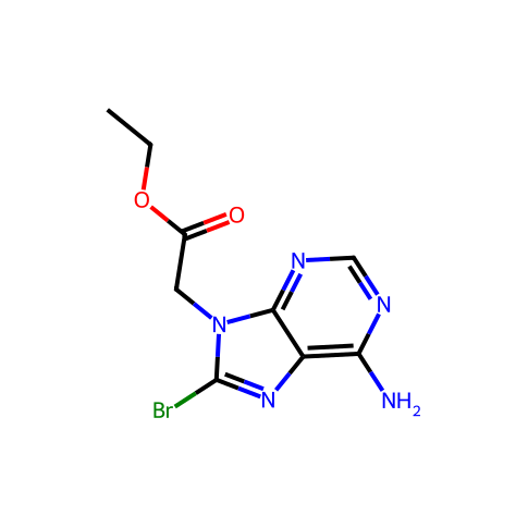 CCOC(=O)Cn1c(Br)nc2c(N)ncnc21